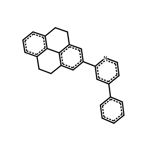 c1ccc(-c2ccnc(-c3cc4c5c(c3)CCc3cccc(c3-5)CC4)c2)cc1